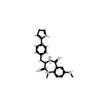 COc1ccc2c(c1)C(=O)NC(Cc1ccc(C3=CCC=N3)cc1)C(=O)N2C